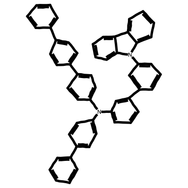 c1ccc(-c2ccc(-c3ccc(N(c4ccc(-c5ccccc5)cc4)c4cccc(-c5cccc(-n6c7ccccc7c7ccccc76)c5)c4)cc3)cc2)cc1